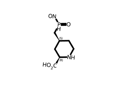 O=N[PH](=O)C[C@H]1CCN[C@@H](C(=O)O)C1